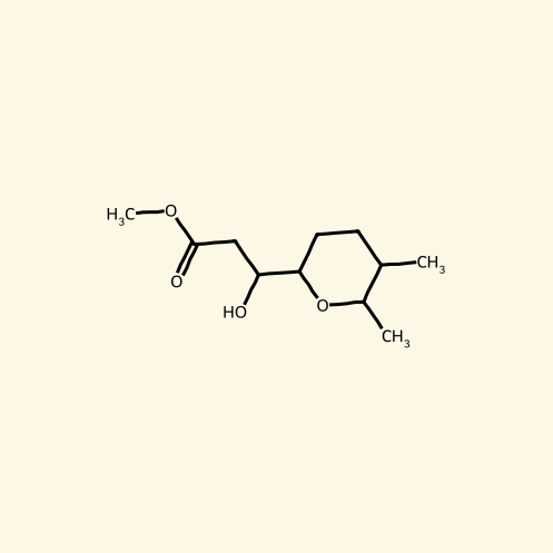 COC(=O)CC(O)C1CCC(C)C(C)O1